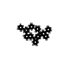 c1ccc(-c2nc(-c3ccccc3)nc(-c3cccc4cc(-n5c6ccccc6c6cc7c8c9ccccc9c(-c9ccccc9)cc8n(-c8ccccc8)c7cc65)ccc34)n2)cc1